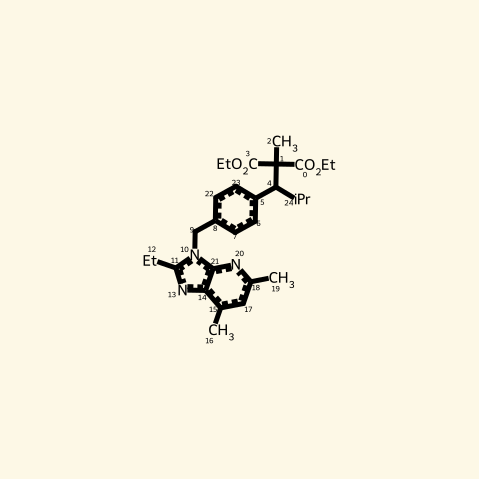 CCOC(=O)C(C)(C(=O)OCC)C(c1ccc(Cn2c(CC)nc3c(C)cc(C)nc32)cc1)C(C)C